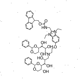 CCn1c(CNC(=O)OCC2c3ccccc3-c3ccccc32)[n+](CC)c2cc(OCCN(CC(O)C(O)[C@@H]3OC(c4ccccc4)OC[C@H]3O)CC(O)C(O)[C@@H]3OC(c4ccccc4)OC[C@H]3O)ccc21